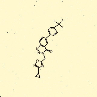 O=c1c2cc(-c3ccc(C(F)(F)F)cc3)ccc2nnn1Cc1nc(C2CC2)no1